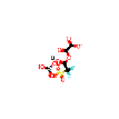 O=C([O-])C(=O)OC(=O)C(F)(F)S(=O)(=O)O.OB(O)O.[Li+]